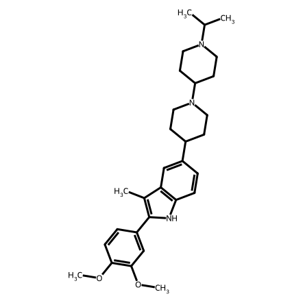 COc1ccc(-c2[nH]c3ccc(C4CCN(C5CCN(C(C)C)CC5)CC4)cc3c2C)cc1OC